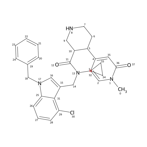 Cn1ccc(C2CCNCC2C(=O)N(Cc2cn(Cc3ccccc3)c3cccc(Cl)c23)C2CC2)cc1=O